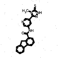 Cn1c(-c2cncc(NC(=O)c3cccc4c3Cc3ccccc3-4)c2)n[nH]c1=S